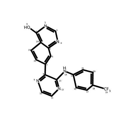 Oc1ncnc2cc(-c3nccnc3Nc3ccc(C(F)(F)F)cc3)ccc12